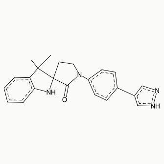 CC1(C)c2ccccc2NC12CCN(c1ccc(-c3cn[nH]c3)cc1)C2=O